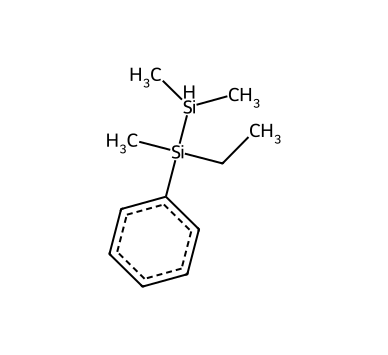 CC[Si](C)(c1ccccc1)[SiH](C)C